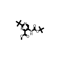 COC(=O)c1nc(C(C)(C)C)ncc1NC(=O)OC(C)(C)C